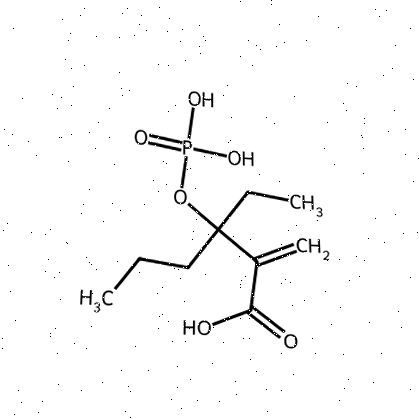 C=C(C(=O)O)C(CC)(CCC)OP(=O)(O)O